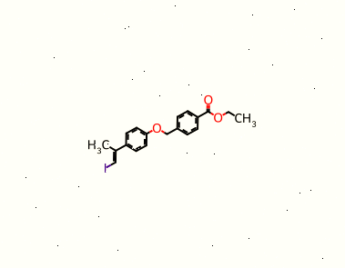 CCOC(=O)c1ccc(COc2ccc(C(C)=CI)cc2)cc1